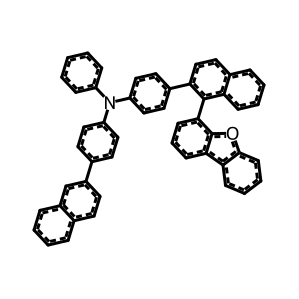 c1ccc(N(c2ccc(-c3ccc4ccccc4c3)cc2)c2ccc(-c3ccc4ccccc4c3-c3cccc4c3oc3ccccc34)cc2)cc1